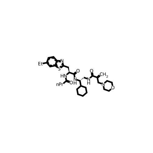 C=C(CN1CCOCC1)C(=O)NC[C@@H](NC(=O)[C@H](Cc1nc2ccc(CC)cc2s1)NC(=O)CCC)C1CCCCC1